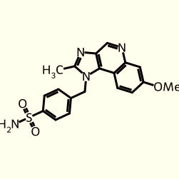 COc1ccc2c(c1)ncc1nc(C)n(Cc3ccc(S(N)(=O)=O)cc3)c12